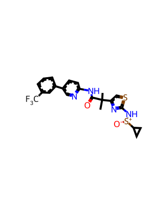 CC(C)(C(=O)Nc1ccc(-c2cccc(C(F)(F)F)c2)cn1)c1csc(N[S+]([O-])C2CC2)n1